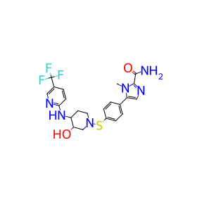 Cn1c(-c2ccc(SN3CCC(Nc4ccc(C(F)(F)F)cn4)C(O)C3)cc2)cnc1C(N)=O